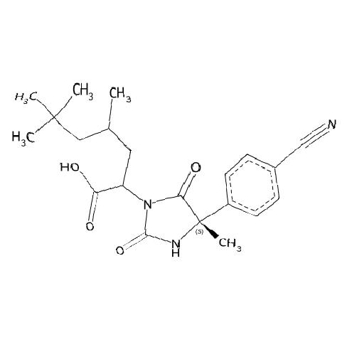 CC(CC(C(=O)O)N1C(=O)N[C@@](C)(c2ccc(C#N)cc2)C1=O)CC(C)(C)C